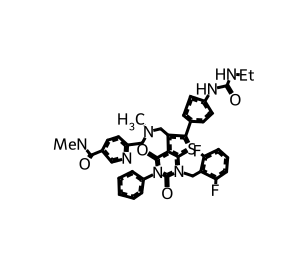 CCNC(=O)Nc1ccc(-c2sc3c(c2CN(C)Cc2ccc(C(=O)NC)cn2)c(=O)n(-c2ccccc2)c(=O)n3Cc2c(F)cccc2F)cc1